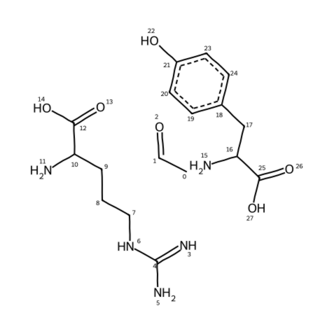 CC=O.N=C(N)NCCCC(N)C(=O)O.NC(Cc1ccc(O)cc1)C(=O)O